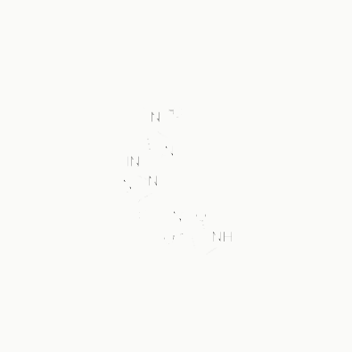 O=C(c1ccc[nH]c1=O)N1CCCC(c2nc(Nc3cncc(N4CCCC4=O)c3)ncc2Cl)C1